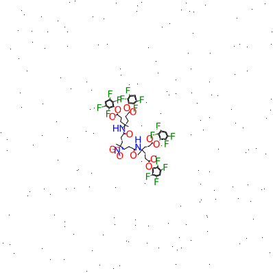 CC(CCC(=O)Oc1c(F)c(F)cc(F)c1F)(CCC(=O)Oc1c(F)c(F)cc(F)c1F)NC(=O)CCC(C)(CCC(=O)NC(C)(CCC(=O)Oc1c(F)c(F)cc(F)c1F)CCC(=O)Oc1c(F)c(F)cc(F)c1F)[N+](=O)[O-]